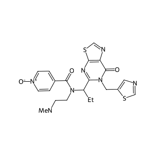 CCC(c1nc2scnc2c(=O)n1Cc1cncs1)N(CCNC)C(=O)c1cc[n+]([O-])cc1